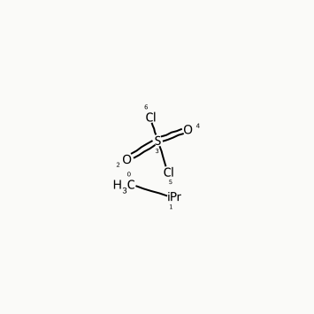 CC(C)C.O=S(=O)(Cl)Cl